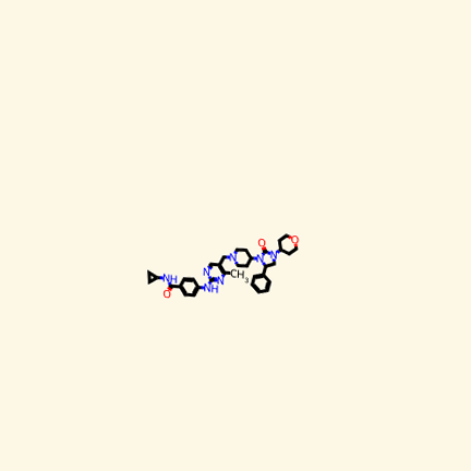 Cc1nc(Nc2ccc(C(=O)NC3CC3)cc2)ncc1CN1CCC(N2C(=O)N(C3CCOCC3)CC2c2ccccc2)CC1